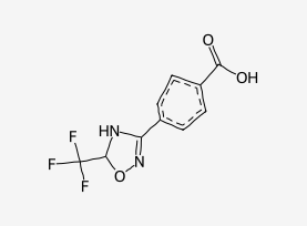 O=C(O)c1ccc(C2=NOC(C(F)(F)F)N2)cc1